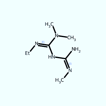 CC/N=C(\N/C(N)=N\C)N(C)C